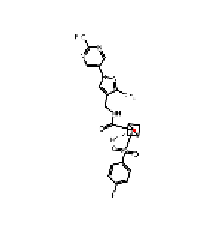 O=C(NCc1cn(-c2cnc(C(F)(F)F)nc2)nc1C(F)(F)F)[C@@H]1C2CC(C2)N1S(=O)(=O)c1ccc(F)cc1